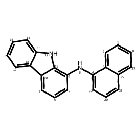 c1ccc2c(Nc3cccc4c3[nH]c3ccccc34)cccc2c1